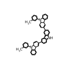 Cc1cccc(N2c3ccccc3C3C=C(c4ccc5[nH]c6ccc(C7=CC8c9ccccc9N(c9cccc(C)c9)C8C=C7)cc6c5c4)C=CC32)c1